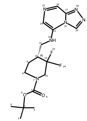 CC(C)(C)OC(=O)N1CC[C@H](CNc2cncc3nncn23)C(F)(F)C1